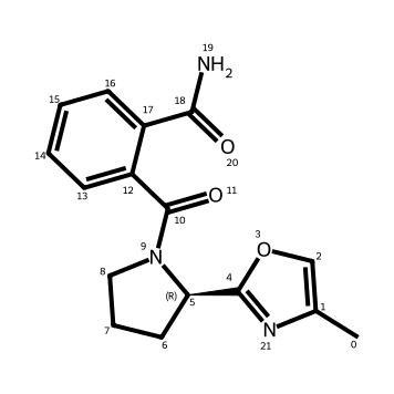 Cc1coc([C@H]2CCCN2C(=O)c2ccccc2C(N)=O)n1